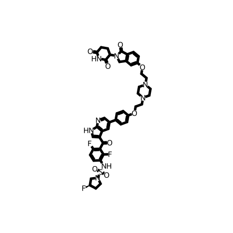 O=C1CCC(N2Cc3cc(OCCN4CCN(CCOc5ccc(-c6cnc7[nH]cc(C(=O)c8c(F)ccc(NS(=O)(=O)N9CC[C@@H](F)C9)c8F)c7c6)cc5)CC4)ccc3C2=O)C(=O)N1